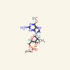 CCOc1nc(N)nc2c1ncn2[C@H]1O[C@]2(F)CO[P@](=O)(OC(C)C)O[C@H]2C1(C)F